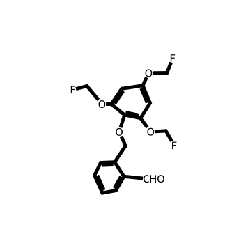 O=Cc1ccccc1COc1c(OCF)cc(OCF)cc1OCF